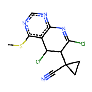 CSc1ncnc2c1C(Cl)C(C1(C#N)CC1)C(Cl)=N2